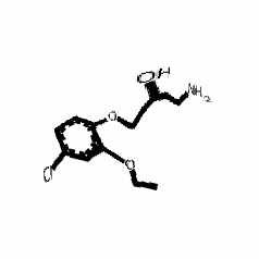 CCOc1cc(Cl)ccc1OCC(O)CN